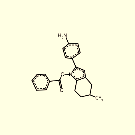 Nc1ccc(-c2cc3c(n2OC(=O)c2ccccc2)CCC(C(F)(F)F)C3)cc1